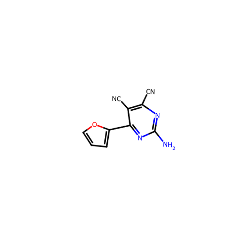 N#Cc1nc(N)nc(-c2ccco2)c1C#N